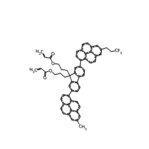 C=CC(=O)OCCCC1(CCCOC(=O)C=C)c2cc(-c3ccc4ccc5cc(C)cc6ccc3c4c56)ccc2-c2ccc(-c3ccc4ccc5cc(CCC(F)(F)F)cc6ccc3c4c56)cc21